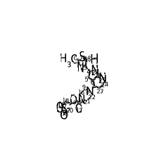 Cc1nc(-c2cc3c(N4CCN(C(=O)OC5CS(=O)(=O)C5)CC4)ccnc3[nH]2)cs1